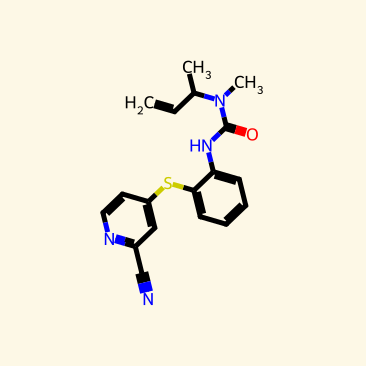 C=CC(C)N(C)C(=O)Nc1ccccc1Sc1ccnc(C#N)c1